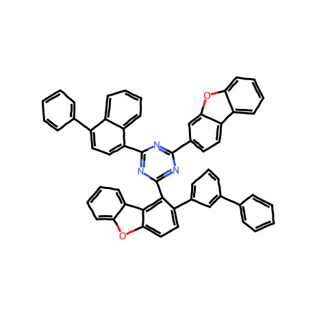 c1ccc(-c2cccc(-c3ccc4oc5ccccc5c4c3-c3nc(-c4ccc5c(c4)oc4ccccc45)nc(-c4ccc(-c5ccccc5)c5ccccc45)n3)c2)cc1